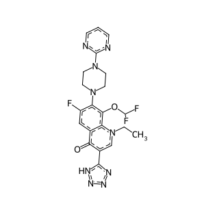 CCn1cc(-c2nnn[nH]2)c(=O)c2cc(F)c(N3CCN(c4ncccn4)CC3)c(OC(F)F)c21